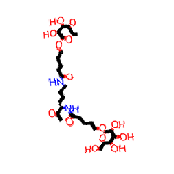 CC(=O)[C@@H](CCCCNC(=O)CCCCOC1OC(C)C(=O)C(O)C1O)NC(=O)CCCCOC1OC(CO)C(O)C(O)C1O